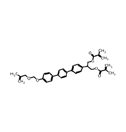 C=C(C)COCOc1ccc(-c2ccc(-c3ccc(C(COC(=O)C(=C)C)COC(=O)C(=C)C)cc3)cc2)cc1